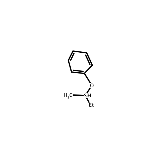 CC[SiH](C)Oc1ccccc1